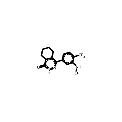 CCNc1cc(-c2n[nH]c(=O)c3c2CCCC3)ccc1C(F)(F)F